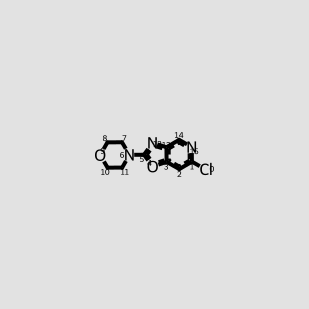 Clc1cc2oc(N3CCOCC3)nc2cn1